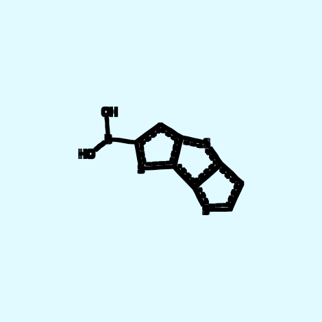 OB(O)c1cc2sc3ccsc3c2s1